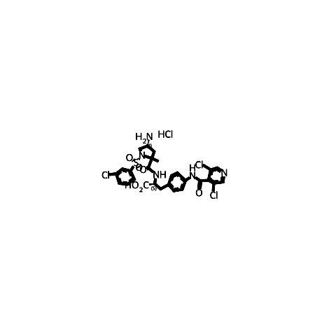 CC1(C(=O)N[C@@H](Cc2ccc(NC(=O)c3c(Cl)cncc3Cl)cc2)C(=O)O)C[C@@H](N)CN1S(=O)(=O)c1cccc(Cl)c1.Cl